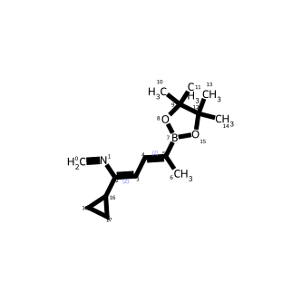 C=N/C(=C\C=C(/C)B1OC(C)(C)C(C)(C)O1)C1CC1